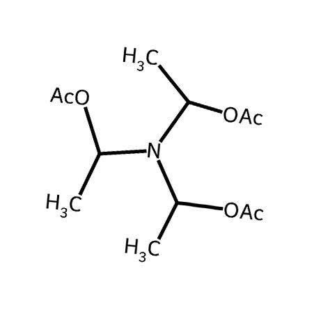 CC(=O)OC(C)N(C(C)OC(C)=O)C(C)OC(C)=O